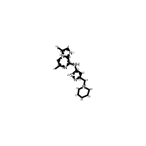 Cc1cn2c(I)cnc2c(Nc2cc(CN3CCCCC3)ns2)n1